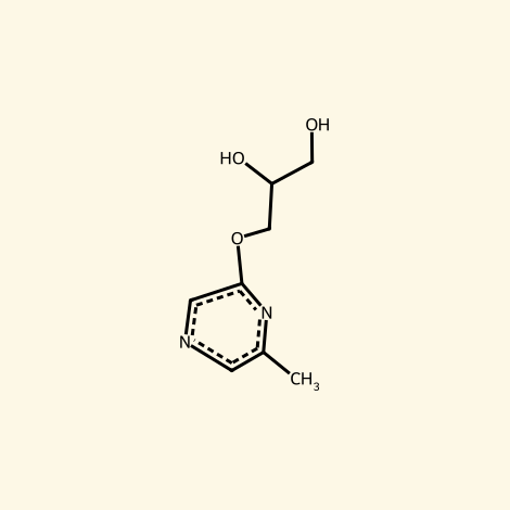 Cc1cncc(OCC(O)CO)n1